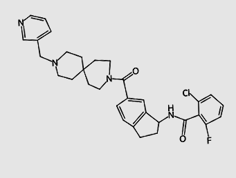 O=C(NC1CCc2ccc(C(=O)N3CCC4(CCN(Cc5cccnc5)CC4)CC3)cc21)c1c(F)cccc1Cl